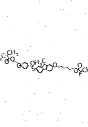 C=C(C)C(=O)OCCOc1ccc(C(=O)Sc2ccc3c(c2)[C@@H](C)c2cc(OCCCCCCOC(=O)C(=C)F)ccc2-3)cc1